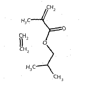 C=C.C=C(C)C(=O)OCC(C)C